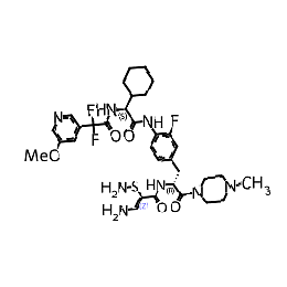 COc1cncc(C(F)(F)C(=O)N[C@H](C(=O)Nc2ccc(C[C@@H](NC(=O)/C(=C/N)SN)C(=O)N3CCN(C)CC3)cc2F)C2CCCCC2)c1